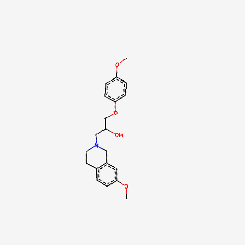 COc1ccc(OCC(O)CN2CCc3ccc(OC)cc3C2)cc1